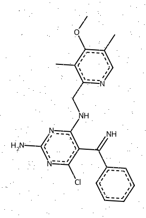 COc1c(C)cnc(CNc2nc(N)nc(Cl)c2C(=N)c2ccccc2)c1C